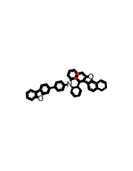 C1=CC(c2cccc3oc4c5c(ccc4c23)CCC=C5)C(N(c2ccccc2)c2ccc(-c3ccc4c(c3)oc3ccccc34)cc2)C=C1